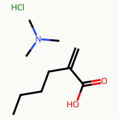 C=C(CCCC)C(=O)O.CN(C)C.Cl